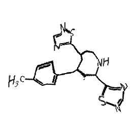 Cc1ccc(C2[CH]C(c3ncns3)NCC2c2ncns2)cc1